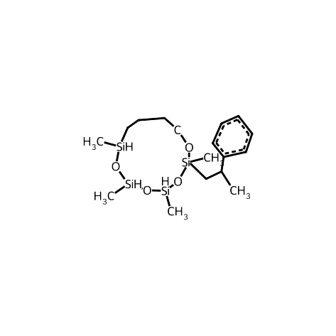 CC(C[Si]1(C)OCCCC[SiH](C)O[SiH](C)O[SiH](C)O1)c1ccccc1